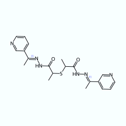 C/C(=N\NC(=O)C(C)SC(C)C(=O)N/N=C(\C)c1cccnc1)c1cccnc1